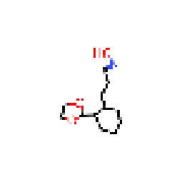 O/N=C/CCC1CCCCC1C1OCCO1